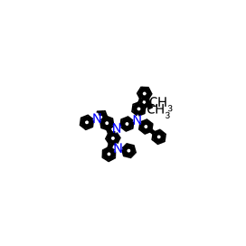 CC1(C)c2ccccc2-c2ccc(N(c3ccc(-c4ccccc4)cc3)c3ccc(-n4c5cc6ccn(-c7ccccc7)c6cc5c5cc6c7ccccc7n(-c7ccccc7)c6cc54)cc3)cc21